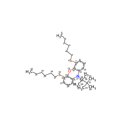 CCCCCCSc1cccc2c1Oc1c(SCCCCCC)cccc1N2[Si](C)(C)C(C)(C)C